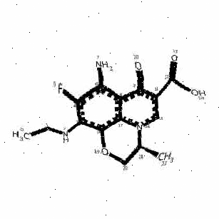 CCNc1c(F)c(N)c2c(=O)c(C(=O)O)cn3c2c1OC[C@@H]3C